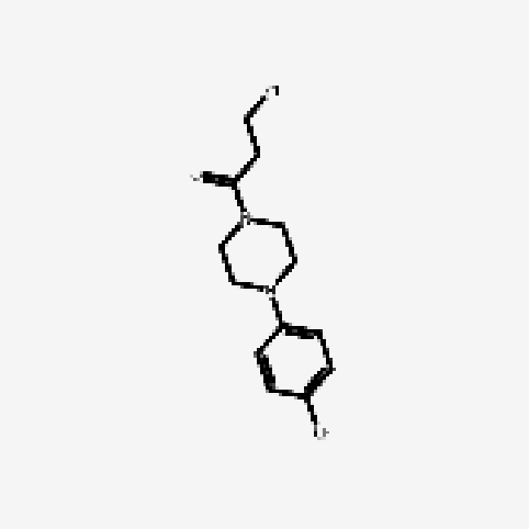 O=C(CCCl)N1CCN(c2ccc(C(F)(F)F)cc2)CC1